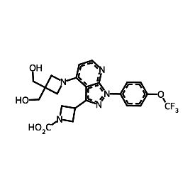 O=C(O)N1CC(c2nn(-c3ccc(OC(F)(F)F)cc3)c3nccc(N4CC(CO)(CO)C4)c23)C1